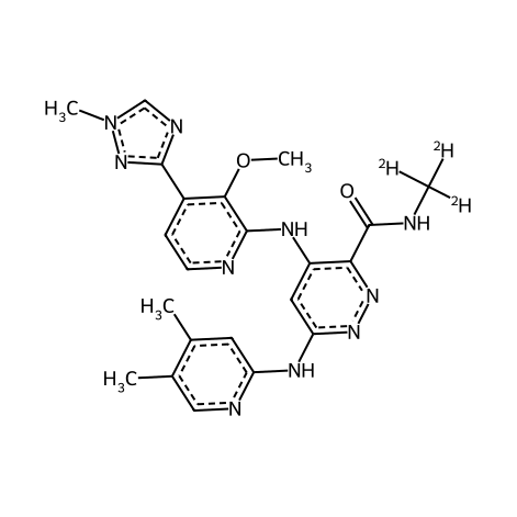 [2H]C([2H])([2H])NC(=O)c1nnc(Nc2cc(C)c(C)cn2)cc1Nc1nccc(-c2ncn(C)n2)c1OC